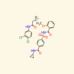 CCC(=O)Nc1ccc(Cl)c(Cl)c1.COc1ccccc1C(=O)NS(=O)(=O)c1ccc(C(=O)NC2CC2)cc1